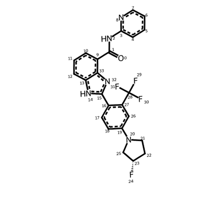 O=C(Nc1ccccn1)c1cccc2[nH]c(-c3ccc(N4CC[C@H](F)C4)cc3C(F)(F)F)nc12